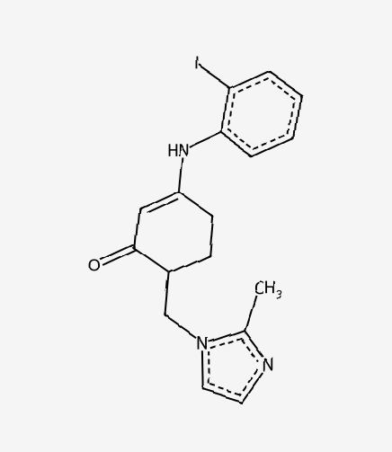 Cc1nccn1CC1CCC(Nc2ccccc2I)=CC1=O